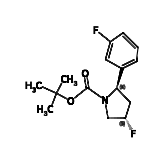 CC(C)(C)OC(=O)N1C[C@@H](F)C[C@@H]1c1cccc(F)c1